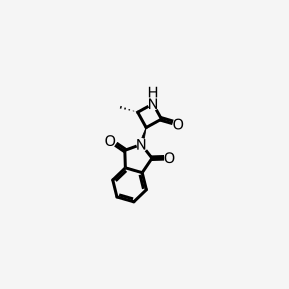 C[C@@H]1NC(=O)[C@H]1N1C(=O)c2ccccc2C1=O